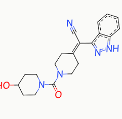 N#CC(=C1CCN(C(=O)N2CCC(O)CC2)CC1)c1n[nH]c2ccccc12